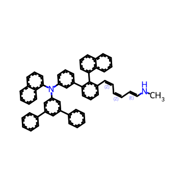 CN/C=C/C=C\C=C/c1cccc(-c2cccc(N(c3cc(-c4ccccc4)cc(-c4ccccc4)c3)c3cccc4ccccc34)c2)c1-c1cccc2ccccc12